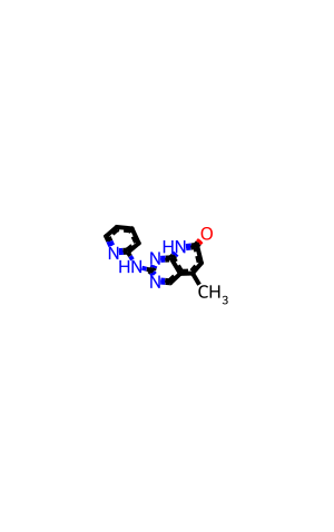 Cc1cc(=O)[nH]c2nc(Nc3ccccn3)ncc12